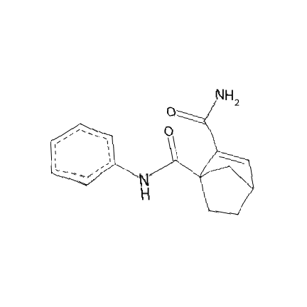 NC(=O)C1=CC2CCC1(C(=O)Nc1ccccc1)C2